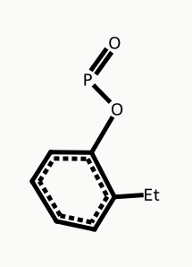 CCc1ccccc1OP=O